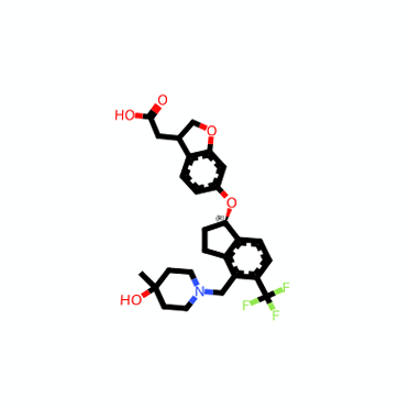 CC1(O)CCN(Cc2c(C(F)(F)F)ccc3c2CC[C@H]3Oc2ccc3c(c2)OCC3CC(=O)O)CC1